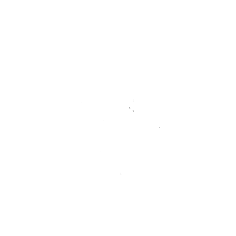 O=[C]C1=NC=CCS1